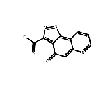 O=C(O)C1=C2C(=O)C=c3ncccc3=C2N=N1